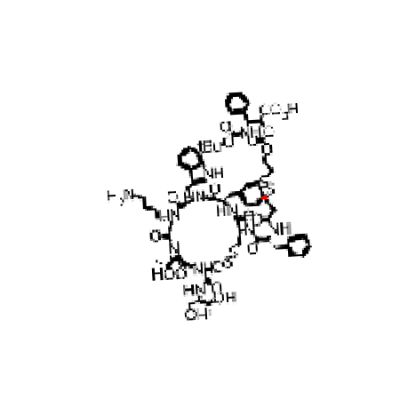 C[C@@H](O)[C@@H]1NC(=O)[C@H](CCCCN)NC(=O)[C@@H](Cc2c[nH]c3ccccc23)NC(=O)[C@H](Cc2ccccc2)NC(=O)[C@@H](NC(=O)[C@@H](Cc2ccccc2)NC(=O)CCSSCCOC(=O)O[C@@H](C(=O)O)[C@@H](NC(=O)OC(C)(C)C)c2ccccc2)CSSC[C@@H](C(=O)N[C@H](CO)[C@@H](C)O)NC1=O